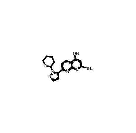 Nc1cc(O)c2ccc(-c3ccnn3C3CCCCO3)nc2n1